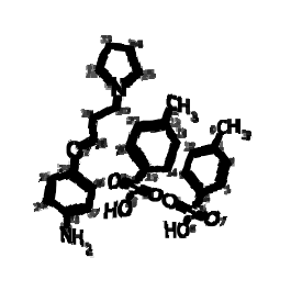 Cc1ccc(S(=O)(=O)O)cc1.Cc1ccc(S(=O)(=O)O)cc1.Nc1ccc(OCCCN2CCCC2)cc1